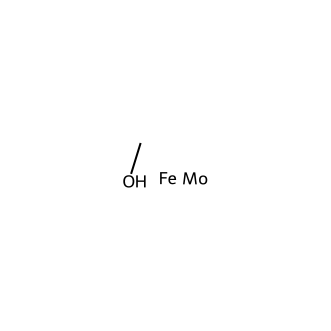 CO.[Fe].[Mo]